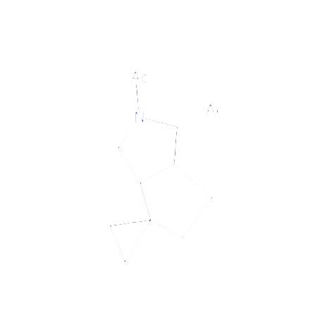 CC(=O)[C@@H]1C2CCC3(CC3)C2CN1C(C)=O